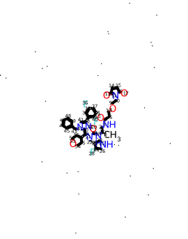 C[C@@H](CNC(=O)CCOCCN1C(=O)C=CC1=O)NC(=O)N(C[C@@H]1CNC[C@@H]1F)C(c1nc(-c2cc(F)ccc2F)cn1Cc1ccccc1)C1CCOCC1